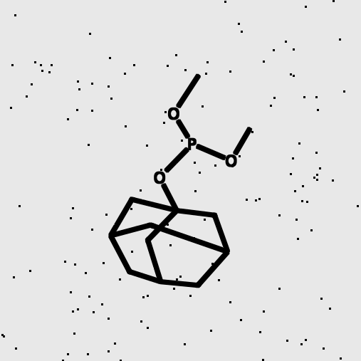 COP(OC)OC12CC3CC(CC(C3)C1)C2